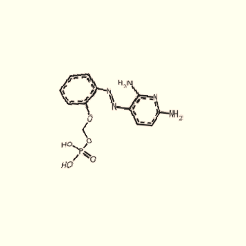 Nc1ccc(N=Nc2ccccc2OCOP(=O)(O)O)c(N)n1